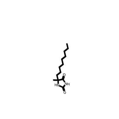 CCCCCCCCCC1(C)NC(=O)NC1=O